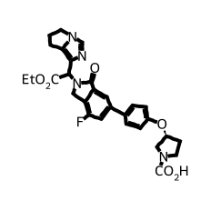 CCOC(=O)C(c1ncn2c1CCC2)N1Cc2c(F)cc(-c3ccc(O[C@@H]4CCN(C(=O)O)C4)cc3)cc2C1=O